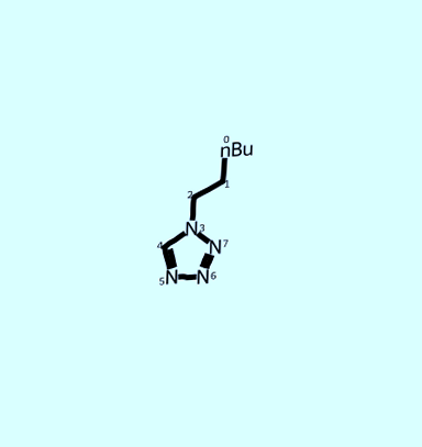 [CH2]CCCCCn1cnnn1